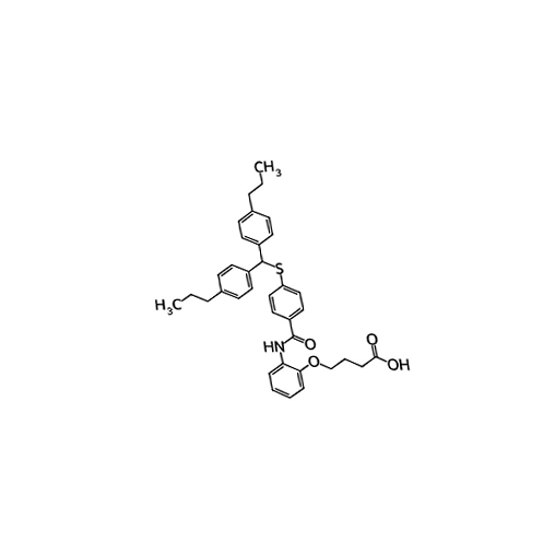 CCCc1ccc(C(Sc2ccc(C(=O)Nc3ccccc3OCCCC(=O)O)cc2)c2ccc(CCC)cc2)cc1